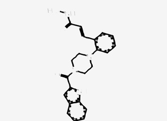 O=C(C=Cc1ccccc1N1CCN(C(=O)c2cc3ccccc3[nH]2)CC1)NO